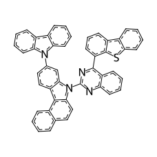 c1ccc2c(c1)ccc1c2c2ccc(-n3c4ccccc4c4ccccc43)cc2n1-c1nc(-c2cccc3c2sc2ccccc23)c2ccccc2n1